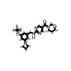 O=C(c1cnc(NCc2cc(OC(F)(F)F)cc(N3CCC3)c2)nc1)N1CCCOC1